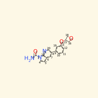 NC(=O)n1c[c]c2cc(-c3cccc(OC4COC4)c3)cnc21